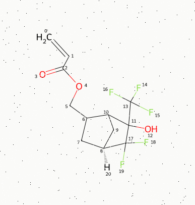 C=CC(=O)OCC1C[C@H]2CC1C(O)(C(F)(F)F)C2(F)F